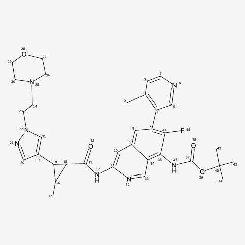 Cc1ccncc1-c1cc2cc(NC(=O)C3C(C)C3c3cnn(CCN4CCOCC4)c3)ncc2c(NC(=O)OC(C)(C)C)c1F